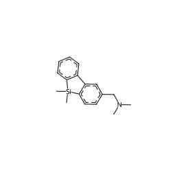 CN(C)Cc1ccc2c(c1)-c1ccccc1[Si]2(C)C